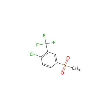 CS(=O)(=O)c1ccc(Cl)c(C(F)(F)F)c1